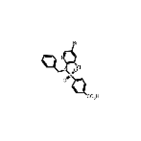 O=C(O)c1ccc(S(=O)(=O)N(Cc2ccccc2)c2ncc(Br)cc2Cl)cc1